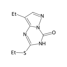 CCSc1nc2c(CC)cnn2c(=O)[nH]1